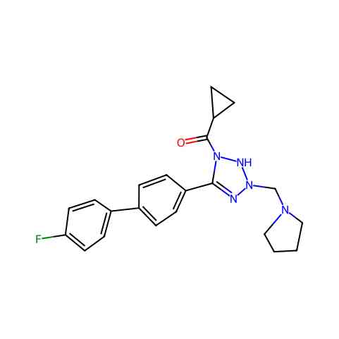 O=C(C1CC1)N1NN(CN2CCCC2)N=C1c1ccc(-c2ccc(F)cc2)cc1